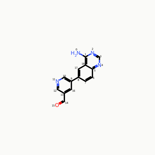 Nc1ncnc2ccc(-c3cncc(C=O)c3)cc12